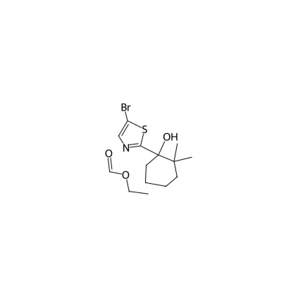 CC1(C)CCCCC1(O)c1ncc(Br)s1.CCOC=O